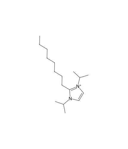 CCCCCCCCc1n(C(C)C)cc[n+]1C(C)C